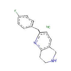 Cl.Fc1ccc(-c2ccc3c(n2)CCNC3)cc1